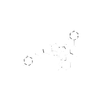 NC12CCCC(NC(=O)OCc3ccccc3)(C1)C(C1CC3(NC(=O)OCc4ccccc4)CCC(C(=O)O)(C1)C3)C2